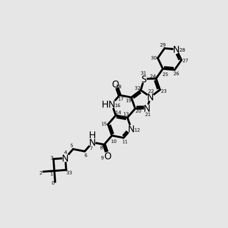 CC1(C)CN(CCNC(=O)c2cnc3c(c2)[nH]c(=O)c2c3nn3cc(C4=CC=NCC4)sc23)C1